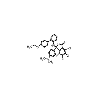 CCOc1ccc(-c2ccccc2NC2(c3ccc(N(C)C)cc3)OC(=O)c3c(Cl)c(Cl)c(Cl)c(Cl)c32)cc1